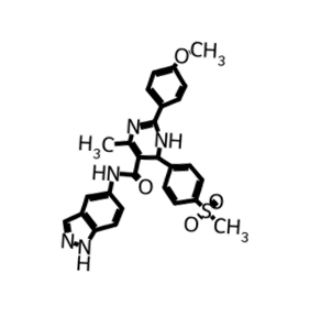 COc1ccc(C2=NC(C)=C(C(=O)Nc3ccc4[nH]ncc4c3)C(c3ccc(S(C)(=O)=O)cc3)N2)cc1